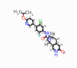 CC(C)Oc1ccc(-c2cc(F)c(NC(=O)N3[C@H]4CC[C@@H]3c3c[nH]c(=O)cc3C4)cc2Cl)cn1